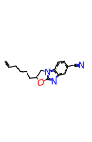 C=CCCCCC1Cn2c(nc3cc(C#N)ccc32)O1